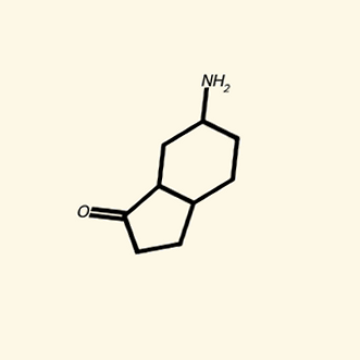 NC1CCC2CCC(=O)C2C1